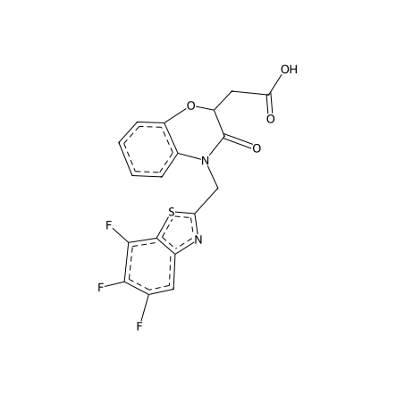 O=C(O)CC1Oc2ccccc2N(Cc2nc3cc(F)c(F)c(F)c3s2)C1=O